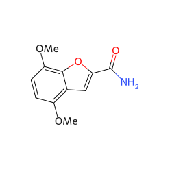 COc1ccc(OC)c2oc(C(N)=O)cc12